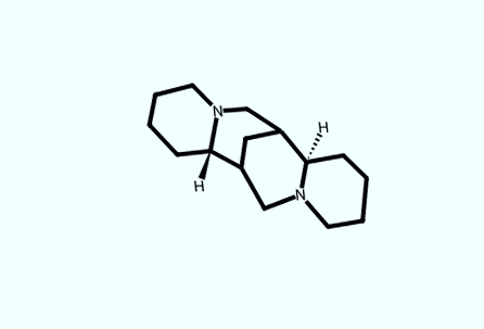 C1CCN2CC3CC(CN4CCCC[C@@H]34)[C@H]2C1